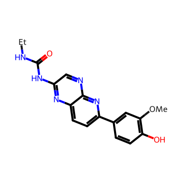 CCNC(=O)Nc1cnc2nc(-c3ccc(O)c(OC)c3)ccc2n1